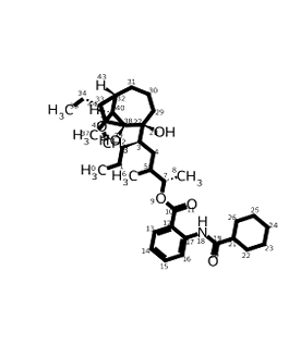 CCC[C@H](CC(C)[C@H](C)OC(=O)c1ccccc1NC(=O)C1CCCCC1)[C@@]1(O)CCC[C@H]2[C@@H](CC)C(C)[C@]1(O)[C@H]2OC